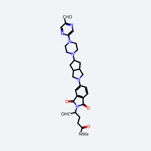 CNC(=O)CCC(C=O)N1C(=O)c2ccc(N3CC4CC(N5CCN(c6cnc(C=O)cn6)CC5)CC4C3)cc2C1=O